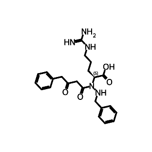 N=C(N)NCCC[C@@H](C(=O)O)N(NCc1ccccc1)C(=O)CC(=O)Cc1ccccc1